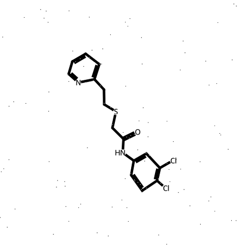 O=C(CSCCc1ccccn1)Nc1ccc(Cl)c(Cl)c1